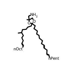 CCCCCC=CCC=CCCCCCCCCC1(CCCCC(C)CCCC=CCCCCCCCC)OCC(C)(CN)O1